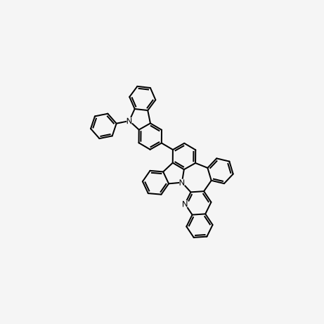 c1ccc(-n2c3ccccc3c3cc(-c4ccc5c6c4c4ccccc4n6-c4nc6ccccc6cc4-c4ccccc4-5)ccc32)cc1